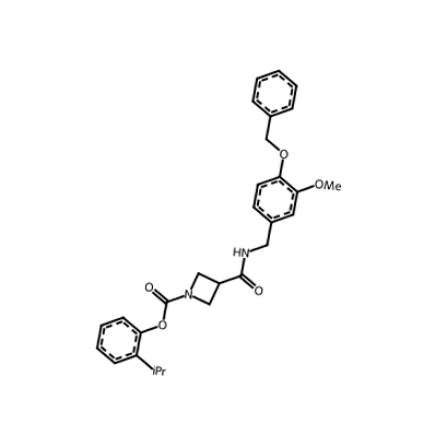 COc1cc(CNC(=O)C2CN(C(=O)Oc3ccccc3C(C)C)C2)ccc1OCc1ccccc1